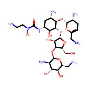 NCCN(O)C(=O)N[C@@H]1C[C@H](N)[C@@H](O[C@H]2OC(CN)=CC[C@H]2N)[C@H](O[C@@H]2O[C@H](CO)[C@@H](O[C@H]3O[C@@H](CN)[C@@H](O)[C@H](O)[C@H]3N)[C@H]2O)[C@H]1O